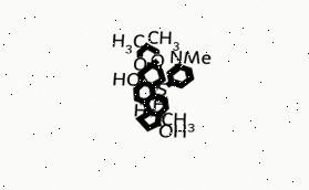 CNc1cccc(S[C@]23CCC4(C[C@]2(O)CC[C@@H]2C3=CC[C@]3(C)[C@@H](O)CC[C@@H]23)OCC(C)(C)CO4)c1